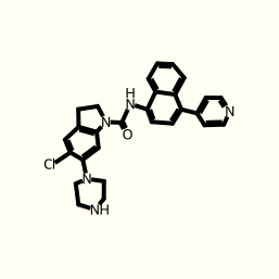 O=C(Nc1ccc(-c2ccncc2)c2ccccc12)N1CCc2cc(Cl)c(N3CCNCC3)cc21